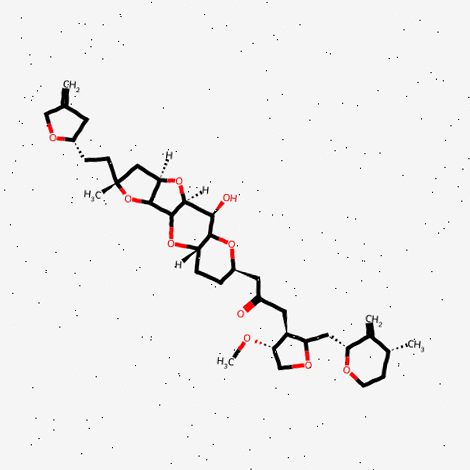 C=C1CO[C@@H](CC[C@]2(C)C[C@H]3O[C@@H]4C(O[C@H]5CC[C@H](CC(=O)C[C@H]6C(C[C@H]7OCC[C@@H](C)C7=C)OC[C@@H]6OC)OC5[C@@H]4O)C3O2)C1